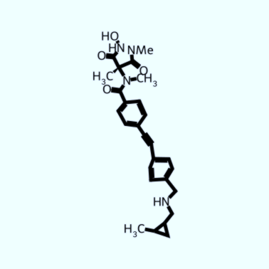 CNC(=O)[C@@](C)(C(=O)NO)N(C)C(=O)c1ccc(C#Cc2ccc(CNCC3CC3C)cc2)cc1